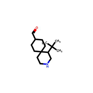 CC(C)(C)C1CNCCC12CCC(C=O)CC2